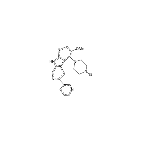 CCN1CCN(c2c(OC)cnc3[nH]c4cnc(-c5cccnc5)cc4c23)CC1